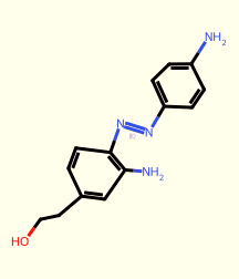 Nc1ccc(/N=N/c2ccc(CCO)cc2N)cc1